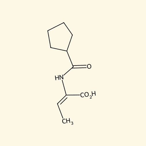 C/C=C(/NC(=O)C1CCCC1)C(=O)O